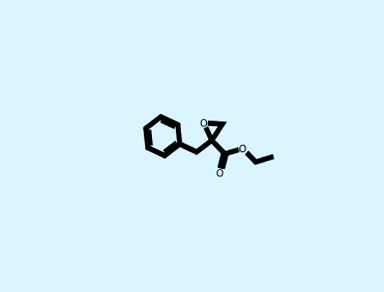 CCOC(=O)C1(Cc2ccccc2)CO1